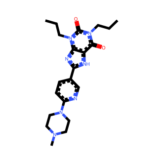 CCCn1c(=O)c2[nH]c(-c3ccc(N4CCN(C)CC4)nc3)nc2n(CCC)c1=O